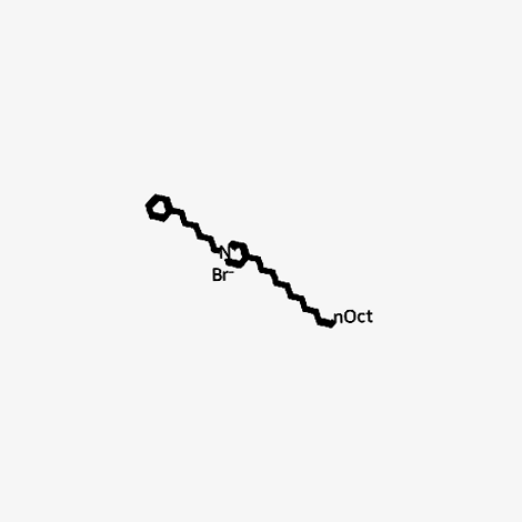 CCCCCCCC/C=C\CCCCCCCCCc1cc[n+](CCCCCCc2ccccc2)cc1.[Br-]